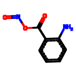 Nc1ccccc1C(=O)ON=O